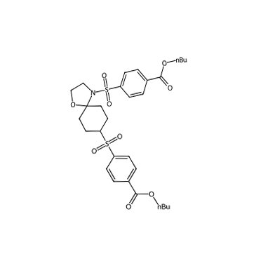 CCCCOC(=O)c1ccc(S(=O)(=O)C2CCC3(CC2)OCCN3S(=O)(=O)c2ccc(C(=O)OCCCC)cc2)cc1